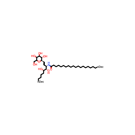 CCCCCCCCCCCCCCCCCCCCCCCCCCCCC(=O)N[C@@H](/C=C/[C@H]1OC(CO)C(O)C(O)[C@@H]1O)[C@H](O)[C@H](O)CCCCCCCCCCCCCC